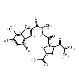 CC(=O)C1CC(C(=O)C(C)C)N(C(=O)CN(C)C(=O)c2cc3c(F)cc(F)c(C)c3[nH]2)C1